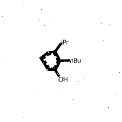 CCCCc1c(O)cccc1C(C)C